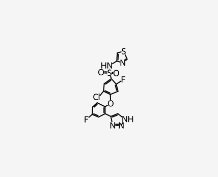 O=S(=O)(Nc1cscn1)c1cc(Cl)c(Oc2ccc(F)cc2-c2c[nH]nn2)cc1F